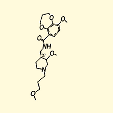 COCCCN1CC[C@@H](CNC(=O)c2ccc(OC)c3c2OCCCO3)C(OC)C1